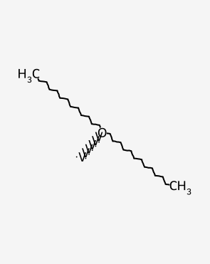 CCCCCCCCCCCCCOCCCCCCCCCCCCC.[V].[V].[V].[V].[V].[V]